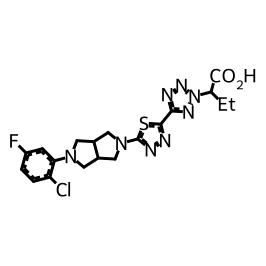 CCC(C(=O)O)n1nnc(-c2nnc(N3CC4CN(c5cc(F)ccc5Cl)CC4C3)s2)n1